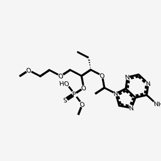 CC[C@H](OC(C)n1cnc2c(N)ncnc21)C(COCCOC)OP(O)(=S)OC